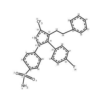 NS(=O)(=O)c1ccc(-n2nc(C(F)(F)F)c(CCc3ccccc3)c2-c2ccc(F)cc2)cc1